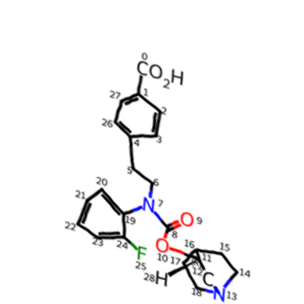 O=C(O)c1ccc(CCN(C(=O)O[C@H]2CN3CCC2CC3)c2ccccc2F)cc1